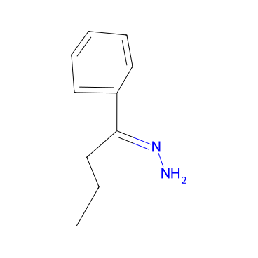 CCCC(=NN)c1ccccc1